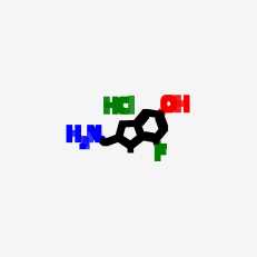 Cl.NCC1[CH]c2c(F)cc(O)cc2C1